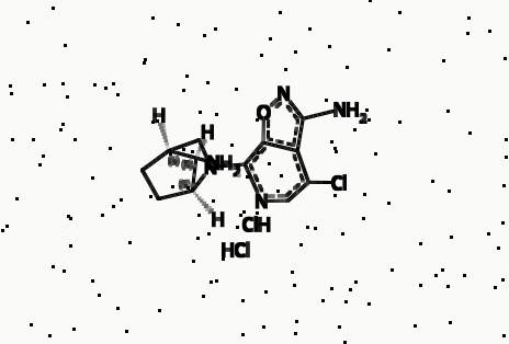 Cl.Cl.Nc1noc2c(N3C[C@@H]4CC[C@H]3[C@@H]4N)ncc(Cl)c12